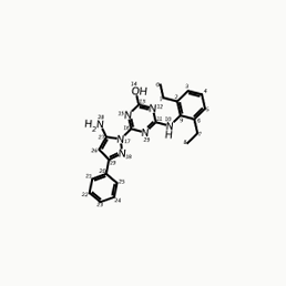 CCc1cccc(CC)c1Nc1nc(O)nc(-n2nc(-c3ccccc3)cc2N)n1